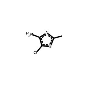 Cc1nc(N)c(Cl)s1